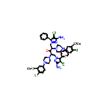 COc1cc(N2CCN(C(Cn3nc(N)c(Cl)c3-c3ccccc3)C(=O)C(Cn3nc(N)c(Cl)c3-c3ccccc3)N3CCN(c4ccc(Cl)c(OC)c4)CC3)CC2)ccc1Cl